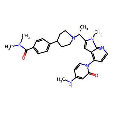 CNc1ccn(-c2ccnc3c2cc([C@@H](C)N2CCC(c4ccc(C(=O)N(C)C)cc4)CC2)n3C)c(=O)c1